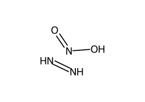 N=N.O=NO